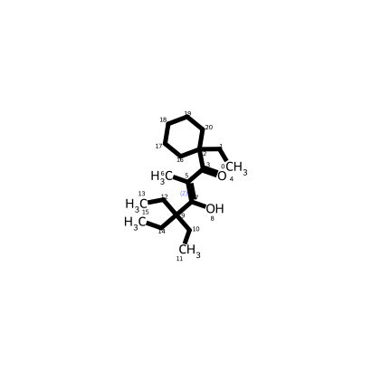 CCC1(C(=O)/C(C)=C(\O)C(CC)(CC)CC)CCCCC1